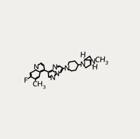 Cc1cc2c(-c3cnn4cc(N5CCC(N6C[C@H]7C[C@@H]6CN7C)CC5)cnc34)ccnc2cc1F